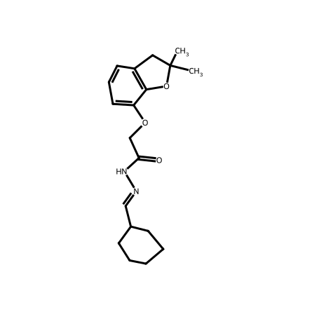 CC1(C)Cc2cccc(OCC(=O)N/N=C/C3CCCCC3)c2O1